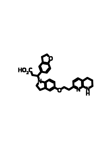 O=C(O)CC(c1ccc2c(c1)CCO2)N1CCc2cc(OCCc3ccc4c(n3)NCCC4)ccc21